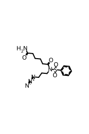 [N-]=[N+]=NCCCN(C(=O)CCCCC(N)=O)S(=O)(=O)c1ccccc1